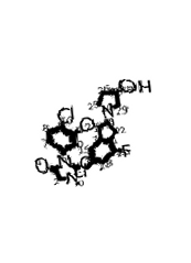 CN1CC(=O)N(c2ccc(Cl)c(O[C@H]3c4cc(Cl)cc(F)c4C[C@H]3N3CC[C@@H](O)C3)c2)C1=O